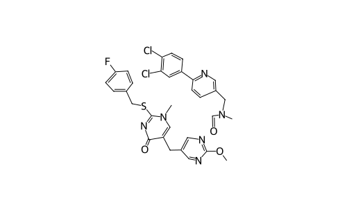 CN(C=O)Cc1ccc(-c2ccc(Cl)c(Cl)c2)nc1.COc1ncc(Cc2cn(C)c(SCc3ccc(F)cc3)nc2=O)cn1